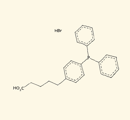 Br.O=C(O)CCCCc1ccc(P(c2ccccc2)c2ccccc2)cc1